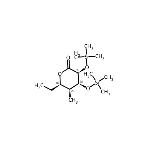 CC[C@H]1OC(=O)[C@@H](O[Si](C)(C)C)[C@@H](O[Si](C)(C)C)[C@H]1C